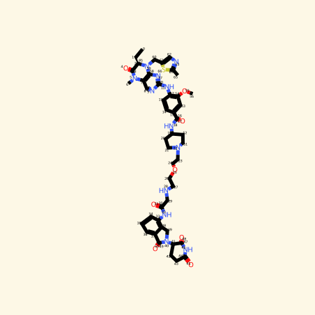 CC[C@@H]1C(=O)N(C)c2cnc(Nc3ccc(C(=O)NC4CCN(CCOCCNCC(=O)Nc5cccc6c5CN(C5CCC(=O)NC5=O)C6=O)CC4)cc3OC)nc2N1Cc1cnc(C)s1